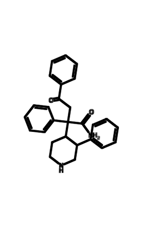 NC(=O)C(CC(=O)c1ccccc1)(c1ccccc1)C1CCNCC1c1ccccc1